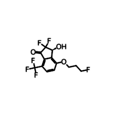 O=C1c2c(C(F)(F)F)ccc(OCCCF)c2[C@H](O)C1(F)F